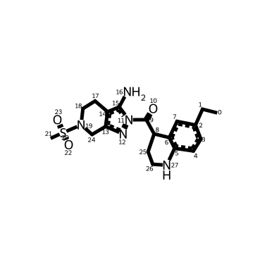 CCc1ccc2c(c1)C(C(=O)n1nc3c(c1N)CCN(S(C)(=O)=O)C3)CCN2